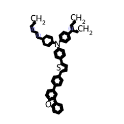 C=C/C=C\C=C\C1C=CC(N(c2ccc(/C(C=C)=C/C=C)cc2)c2ccc(-c3ccc(-c4ccc(-c5ccc6oc7ccccc7c6c5)cc4)s3)cc2)=CC1